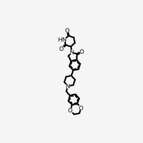 O=C1CCC(N2Cc3cc(C4CCN(Cc5ccc6c(c5)OCCO6)CC4)ccc3C2=O)C(=O)N1